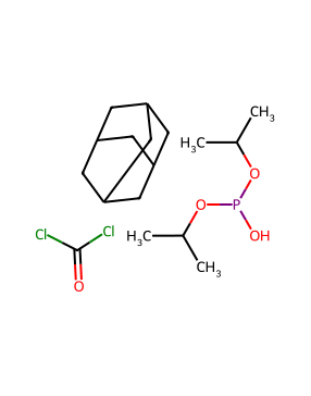 C1C2CC3CC1CC(C2)C3.CC(C)OP(O)OC(C)C.O=C(Cl)Cl